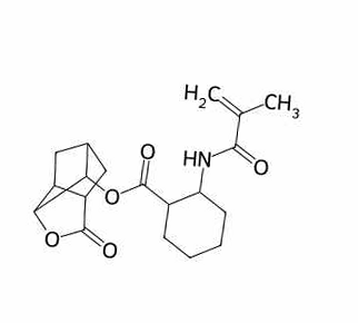 C=C(C)C(=O)NC1CCCCC1C(=O)OC1C2CC3C(=O)OC1C3C2